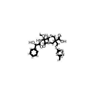 COC1(NC(=O)C(O)c2ccccc2)C(=O)N2CC(CSc3nnc(C)s3)(C(=O)O)CS[C@@H]21